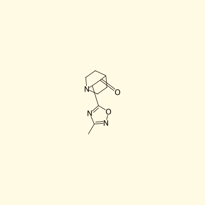 Cc1noc(C2C(=O)C3CCN2CC3)n1